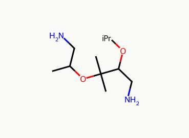 CC(C)OC(CN)C(C)(C)OC(C)CN